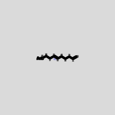 C=CCCC/C=C/CCOC(C)=O